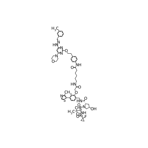 Cc1cccc(/C=N/Nc2cc(N3CCOCC3)nc(OCCc3ccc(NC(=O)CCCCCNC(=O)COc4cc(-c5scnc5C)ccc4CNC(=O)[C@@H]4C[C@@H](O)CN4C(=O)[C@@H](NC(=O)C4(F)CC4)C(C)(C)C)cc3)n2)c1